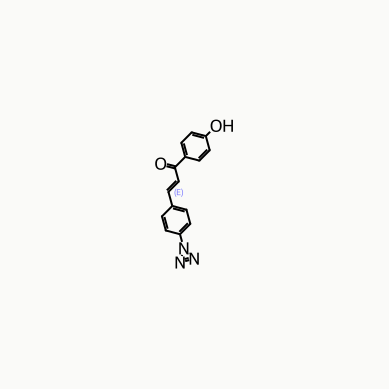 O=C(/C=C/c1ccc(N2N=N2)cc1)c1ccc(O)cc1